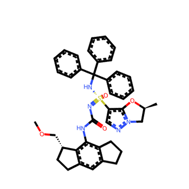 COC[C@H]1CCc2cc3c(c(NC(=O)N=[S@](=O)(NC(c4ccccc4)(c4ccccc4)c4ccccc4)c4cnn5c4O[C@@H](C)C5)c21)CCC3